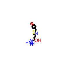 COc1ccc(Cc2nc(C=CC(O)c3nn[nH]n3)cs2)cc1